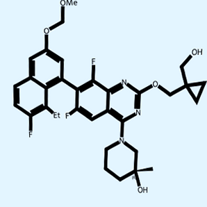 CCc1c(F)ccc2cc(OCOC)cc(-c3c(F)cc4c(N5CCC[C@@](C)(O)C5)nc(OCC5(CO)CC5)nc4c3F)c12